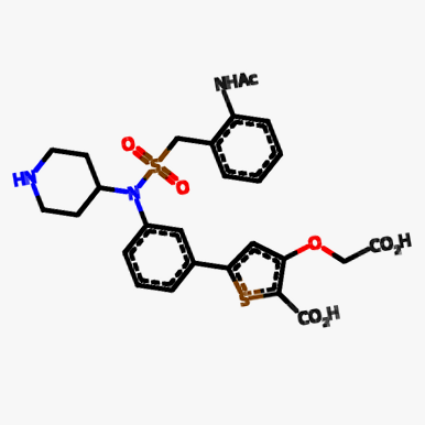 CC(=O)Nc1ccccc1CS(=O)(=O)N(c1cccc(-c2cc(OCC(=O)O)c(C(=O)O)s2)c1)C1CCNCC1